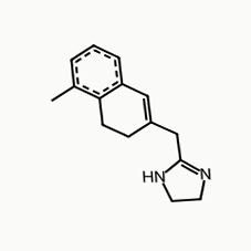 Cc1cccc2c1CCC(CC1=NCCN1)=C2